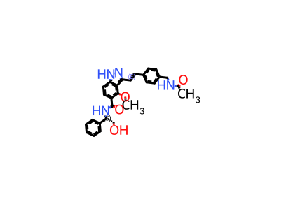 COc1c(C(=O)N[C@H](CO)c2ccccc2)ccc2[nH]nc(/C=C/c3ccc(CNC(C)=O)cc3)c12